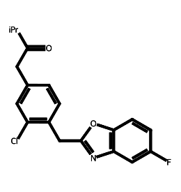 CC(C)C(=O)Cc1ccc(Cc2nc3cc(F)ccc3o2)c(Cl)c1